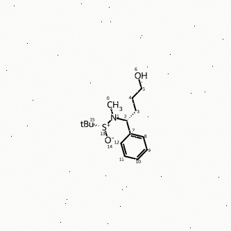 CN([C@H](CCCO)c1ccccc1)[S@+]([O-])C(C)(C)C